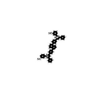 N#Cc1cccc(-c2nc(-c3ccccc3)cc(-c3ccc(-c4cccc5c(-c6ccc(-c7cc(-c8ccccc8)nc(-c8cccc(C#N)c8)n7)cc6)cccc45)cc3)n2)c1